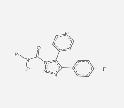 CC(C)N(C(=O)n1nnc(-c2ccc(F)cc2)c1-c1ccncc1)C(C)C